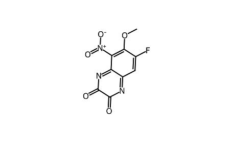 COc1c(F)cc2c(c1[N+](=O)[O-])=NC(=O)C(=O)N=2